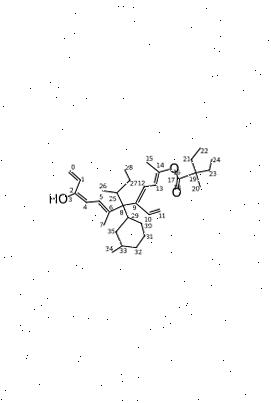 C=C/C(O)=C\C=C(/C)C(/C(C=C)=C/C=C(\C)OC(=O)C(C)(CC)CC)(C(C)CC)C1CCCC(C)C1